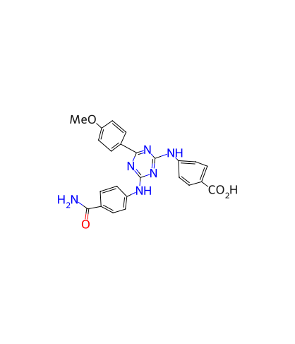 COc1ccc(-c2nc(Nc3ccc(C(N)=O)cc3)nc(Nc3ccc(C(=O)O)cc3)n2)cc1